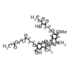 C=CC(=O)OCCOC(=O)CCCOc1cc([N+](=O)[O-])c(C(C)OCCOC(C)c2cc(OC)c(OCCCC(=O)C(O)C(=O)C=C)cc2[N+](=O)[O-])cc1CO